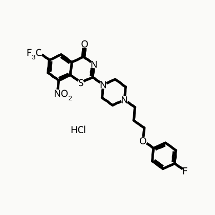 Cl.O=c1nc(N2CCN(CCCOc3ccc(F)cc3)CC2)sc2c([N+](=O)[O-])cc(C(F)(F)F)cc12